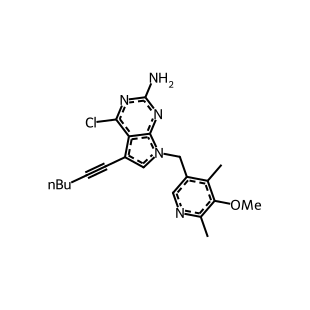 CCCCC#Cc1cn(Cc2cnc(C)c(OC)c2C)c2nc(N)nc(Cl)c12